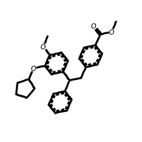 COC(=O)c1ccc(CC(c2ccccc2)c2ccc(OC)c(OC3CCCC3)c2)cc1